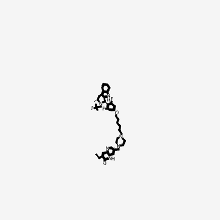 CCc1cc2ncc(CN3CCN(CCCCCCOc4cc(F)c([C@@H]5c6[nH]c7ccccc7c6C[C@@H](C)N5CC(C)(C)F)c(F)c4)CC3)cc2[nH]c1=O